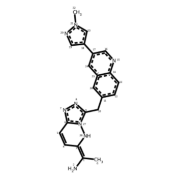 C/C(N)=C1/C=Cc2nnc(Cc3ccc4ncc(-c5cnn(C)c5)cc4c3)n2N1